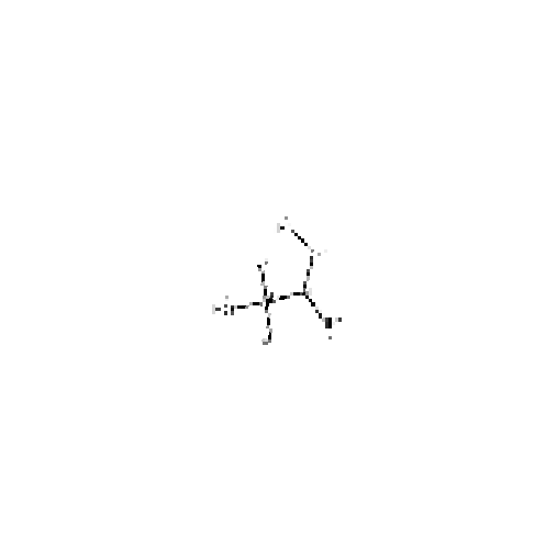 CC(C)OC(C(C)C)C(C)(C)O